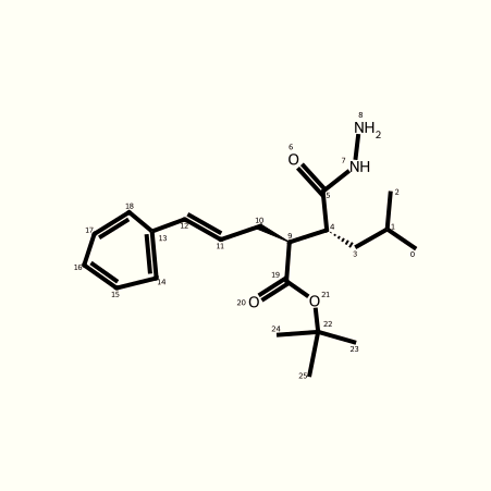 CC(C)C[C@@H](C(=O)NN)[C@H](C/C=C/c1ccccc1)C(=O)OC(C)(C)C